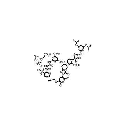 C#CCOc1cc(-n2nc3n(c2=O)CCCC3)c(Cl)cc1Cl.CCS(=O)(=O)c1cccnc1S(=O)(=O)NC(=O)Nc1nc(OC)cc(OC)n1.C[S+](C)C.O=C(Nc1nc(OC(F)F)cc(OC(F)F)n1)NS(=O)(=O)c1ccccc1C(=O)O.O=C(O)CNCP(=O)([O-])O